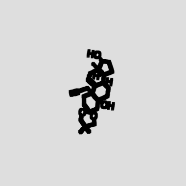 C#CC[C@]12CCC3(C[C@]1(O)CC[C@@H]1C2=CC[C@]2(C)[C@@H](O)CC[C@@H]12)OCC(C)(C)CO3